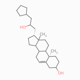 CC12CCC3C(CC=C4CC(O)CC[C@@]43C)C1CC[C@@H]2CC(O)CC1CCCC1